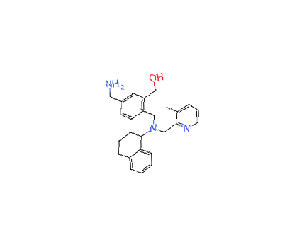 Cc1cccnc1CN(Cc1ccc(CN)cc1CO)C1CCCc2ccccc21